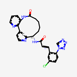 O=C(/C=C/c1cc(Cl)ccc1-n1cnnn1)N[C@H]1CCCCC(=O)Nc2cccnc2-c2ccnc1c2